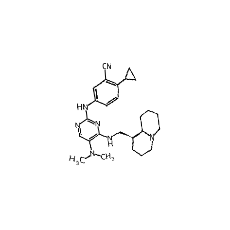 CN(C)c1cnc(Nc2ccc(C3CC3)c(C#N)c2)nc1NC[C@@H]1CCCN2CCCCC12